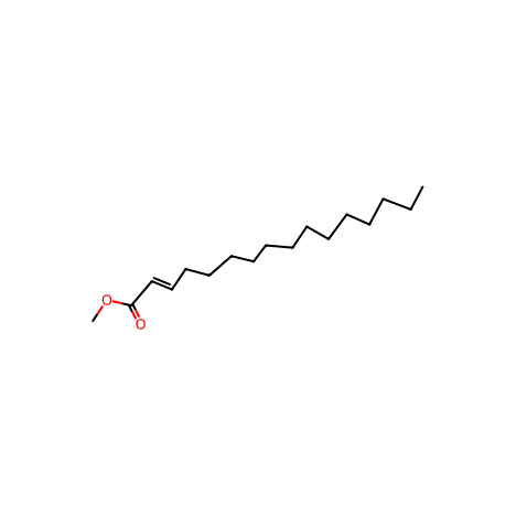 CCCCCCCCCCCCCC=CC(=O)OC